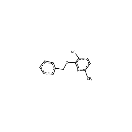 N#Cc1ccc(C(F)(F)F)nc1OCc1ccccc1